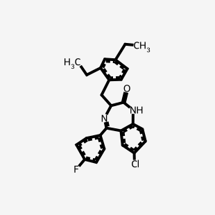 CCc1ccc(CC2N=C(c3ccc(F)cc3)c3cc(Cl)ccc3NC2=O)c(CC)c1